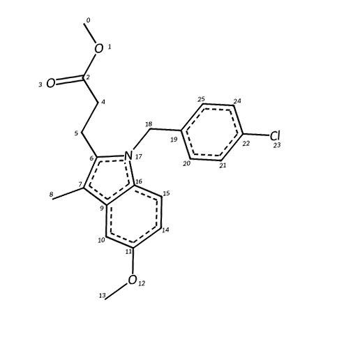 COC(=O)CCc1c(C)c2cc(OC)ccc2n1Cc1ccc(Cl)cc1